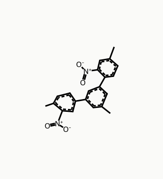 Cc1cc(-c2ccc(C)c([N+](=O)[O-])c2)cc(-c2ccc(C)cc2[N+](=O)[O-])c1